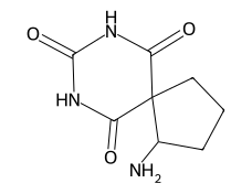 NC1CCCC12C(=O)NC(=O)NC2=O